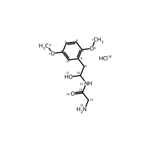 COc1ccc(OC)c(CC(O)NC(=O)CN)c1.Cl